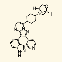 c1cc(-c2c(-c3ccncc3)nn3c(C4CCC(N5C[C@@H]6C[C@H]5CO6)CC4)ccnc23)c2cn[nH]c2c1